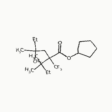 CCC(C)(C)CC(C(=O)OC1CCCC1)(C(F)(F)F)C(C)(C)CC